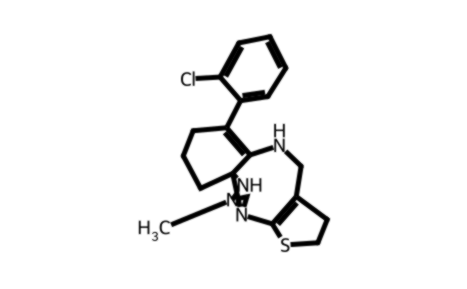 CN1CN2C3=C(CCS3)CNC3=C(c4ccccc4Cl)CCCC32N1